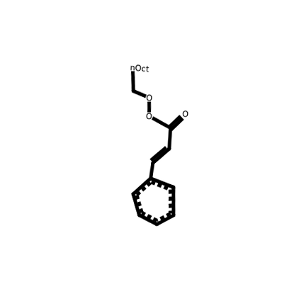 CCCCCCCCCOOC(=O)C=Cc1ccccc1